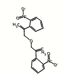 C=C(COCC(=C)c1ccccc1[N+](=O)[O-])c1ccccc1[N+](=O)[O-]